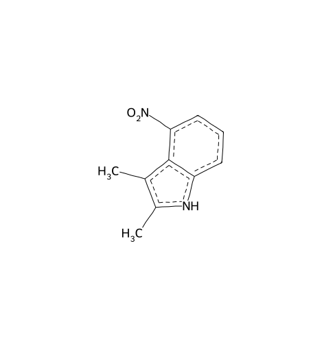 Cc1[nH]c2cccc([N+](=O)[O-])c2c1C